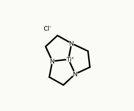 C1C[N]2CC[N]3CC[N]1[Ti+]23.[Cl-]